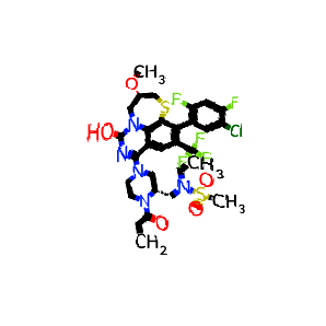 C=CC(=O)N1CCN(C2=NC(O)N3C[C@H](OC)CSc4c(-c5cc(Cl)c(F)cc5F)c(C(F)(F)F)cc2c43)C[C@@H]1CN(CC)S(C)(=O)=O